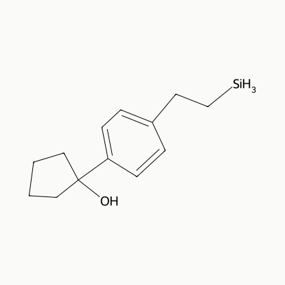 OC1(c2ccc(CC[SiH3])cc2)CCCC1